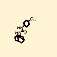 O=C(Nc1ccc(O)cc1)NC12CC3CC(CC(C3)C1)C2